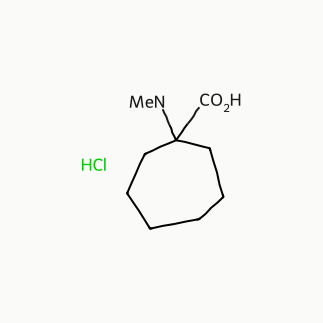 CNC1(C(=O)O)CCCCCC1.Cl